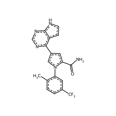 Cc1ccc(C(F)(F)F)cc1-n1cc(-c2ncnc3[nH]ccc23)cc1C(N)=O